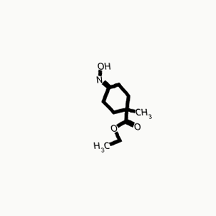 CCOC(=O)C1(C)CCC(=NO)CC1